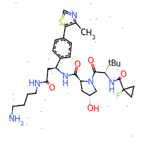 Cc1ncsc1-c1ccc([C@H](CC(=O)NCCCCN)NC(=O)[C@@H]2C[C@@H](O)CN2C(=O)[C@@H](NC(=O)C2(F)CC2)C(C)(C)C)cc1